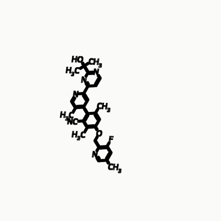 Cc1cnc(COc2cc(C)c(-c3cc(-c4ccnc(C(C)(C)O)n4)ncc3C)c(C#N)c2C)c(F)c1